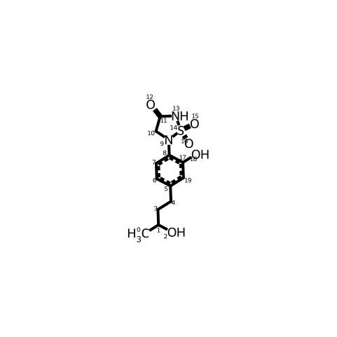 CC(O)CCc1ccc(N2CC(=O)NS2(=O)=O)c(O)c1